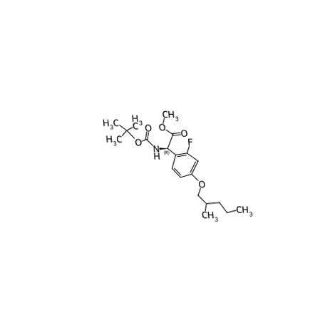 CCCC(C)COc1ccc([C@@H](NC(=O)OC(C)(C)C)C(=O)OC)c(F)c1